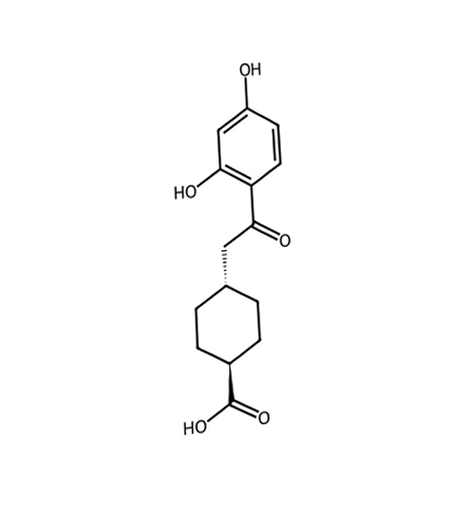 O=C(C[C@H]1CC[C@H](C(=O)O)CC1)c1ccc(O)cc1O